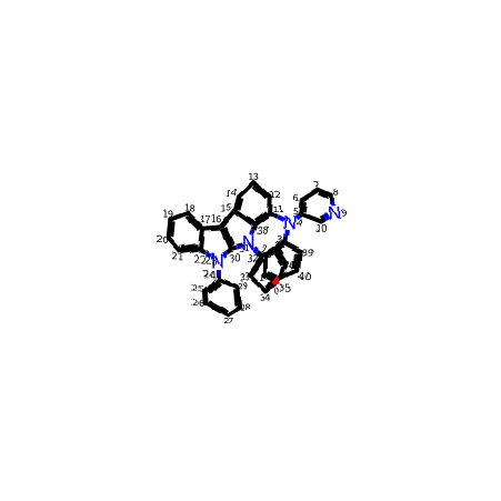 c1ccc(N(c2cccnc2)c2cccc3c4c5ccccc5n(-c5ccccc5)c4n(-c4ccccc4)c23)cc1